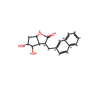 O=C1OC2CC(O)C(O)C2C1Cc1ccc2ccccc2c1